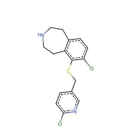 Clc1ccc(CSc2c(Cl)ccc3c2CCNCC3)cn1